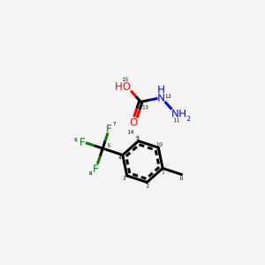 Cc1ccc(C(F)(F)F)cc1.NNC(=O)O